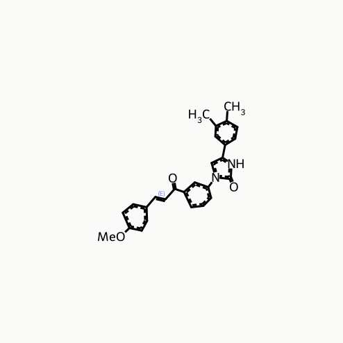 COc1ccc(/C=C/C(=O)c2cccc(-n3cc(-c4ccc(C)c(C)c4)[nH]c3=O)c2)cc1